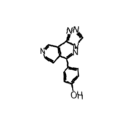 Oc1ccc(-c2nn3cnnc3c3cnccc23)cc1